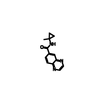 CC1(NC(=O)c2ccc3nccnc3c2)CC1